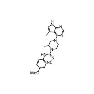 COc1ccc(NC(=NC#N)N2CCN(c3ncnc4[nH]cc(C)c34)CC2C)cc1